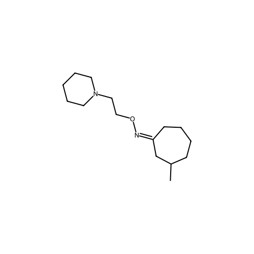 CC1CCCCC(=NOCCN2CCCCC2)C1